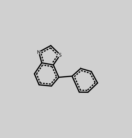 [c]1ccccc1-c1cccc2ncsc12